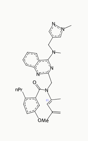 C=C(C)/C=C(\C)N(Cc1nc(N(C)Cc2cnn(C)c2)c2ccccc2n1)C(=O)c1cc(OC)ccc1CCC